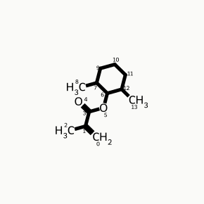 C=C(C)C(=O)OC1C(C)CCCC1C